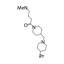 CNCCCC(=O)N1CCC(CN2CCC(C(C)C)CC2)CC1